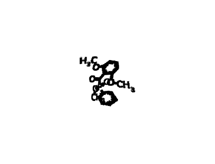 COc1cccc(OC)c1C(=O)P(=O)(OC)c1ccccc1